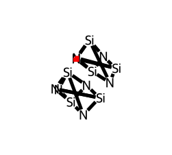 N12[Si]34N5[Si]16N3[Si]25N46.N12[Si]34N5[Si]16N3[Si]25N46